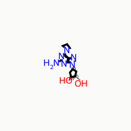 Nc1nc(N2CCC2)c2ncn([C@@H]3C[C@H](CO)[C@@H](O)C3)c2n1